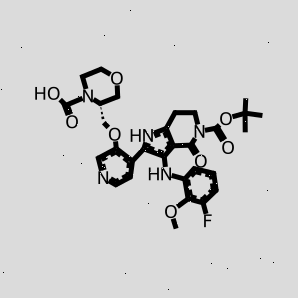 COc1c(F)cccc1Nc1c(-c2ccncc2OC[C@H]2COCCN2C(=O)O)[nH]c2c1C(=O)N(C(=O)OC(C)(C)C)CC2